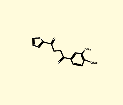 COc1ccc(C(=O)CCC(=O)c2ccco2)cc1OC